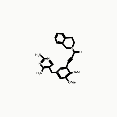 COc1cc(Cc2cnc(N)nc2N)cc(C#CC(=O)N2CCc3ccccc3C2)c1OC